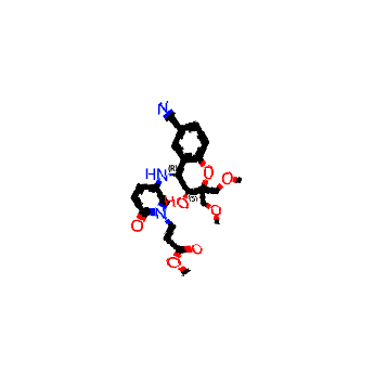 COCC1(COC)Oc2ccc(C#N)cc2[C@@H](Nc2ccc(=O)n(CCC(=O)OC)c2)[C@@H]1O